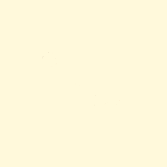 COC(=O)c1ccc(CC=CCOCc2ccccc2)cc1